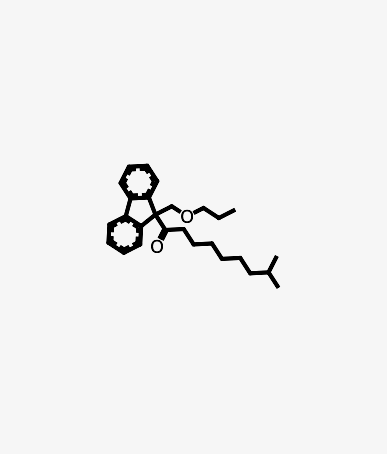 CCCOCC1(C(=O)CCCCCCC(C)C)c2ccccc2-c2ccccc21